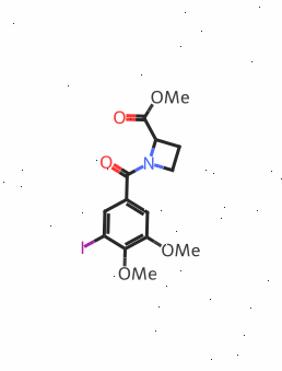 COC(=O)C1CCN1C(=O)c1cc(I)c(OC)c(OC)c1